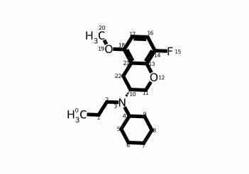 CCCN(C1CCCCC1)[C@H]1COc2c(F)ccc(OC)c2C1